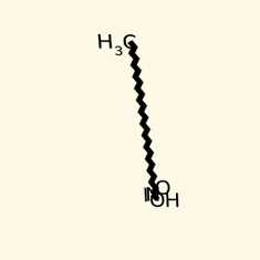 CCCCCCCCCCCCCCCCCCCCCCCCCC(=O)N(O)I